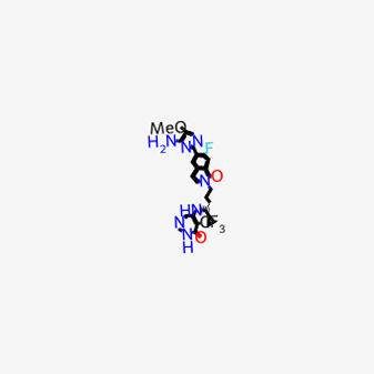 COc1cnc(-c2cc3ccn(CCC[C@@H](NC4=C(C(F)(F)F)C(=O)NCN=C4)C4CC4)c(=O)c3cc2F)nc1N